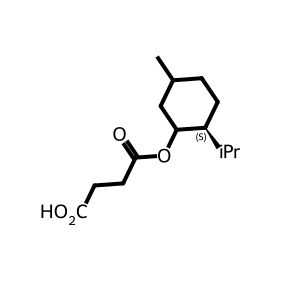 CC1CC[C@@H](C(C)C)C(OC(=O)CCC(=O)O)C1